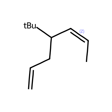 C=CCC(/C=C\C)C(C)(C)C